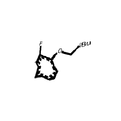 CCC(C)COc1ccc[c]c1F